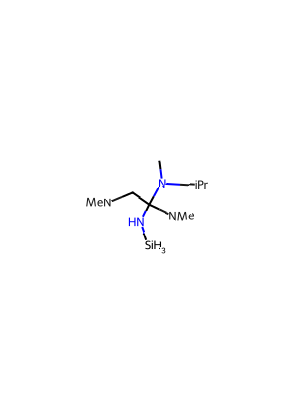 CNCC(NC)(N[SiH3])N(C)C(C)C